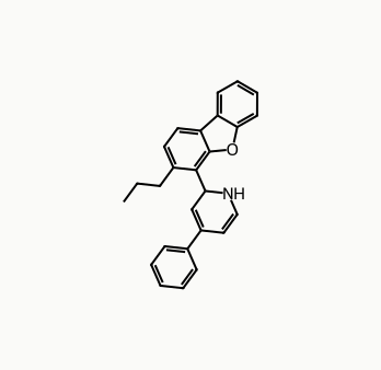 CCCc1ccc2c(oc3ccccc32)c1C1C=C(c2ccccc2)C=CN1